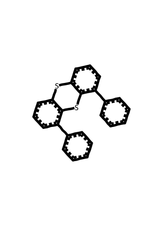 c1ccc(-c2cccc3c2Sc2c(cccc2-c2ccccc2)S3)cc1